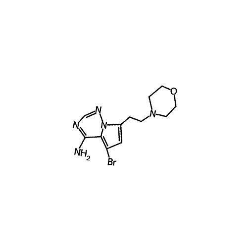 Nc1ncnn2c(CCN3CCOCC3)cc(Br)c12